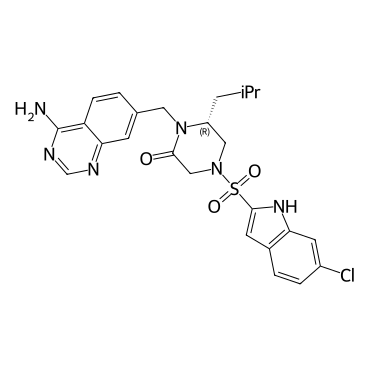 CC(C)C[C@@H]1CN(S(=O)(=O)c2cc3ccc(Cl)cc3[nH]2)CC(=O)N1Cc1ccc2c(N)ncnc2c1